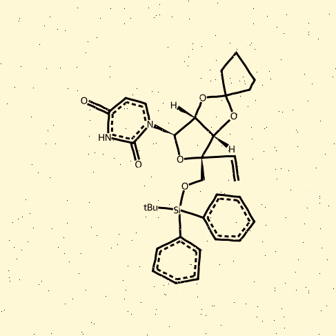 C=C[C@]1(CO[Si](c2ccccc2)(c2ccccc2)C(C)(C)C)O[C@@H](n2ccc(=O)[nH]c2=O)[C@@H]2OC3(CCCC3)O[C@@H]21